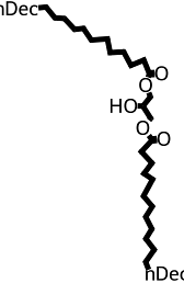 CCCCCCCCCCCCCCCCCCCCCC(=O)OCC(O)COC(=O)CCCCCCCCCCCCCCCCCCCCC